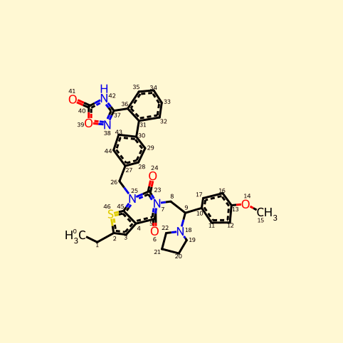 CCc1cc2c(=O)n(CC(c3ccc(OC)cc3)N3CCCC3)c(=O)n(Cc3ccc(-c4ccccc4-c4noc(=O)[nH]4)cc3)c2s1